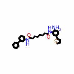 Nc1ccc(-c2cccs2)cc1NC(=O)CCCCCCC(=O)Nc1cccc(-c2ccccc2)c1